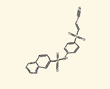 N#CC=CS(=O)(=O)c1ccc(NS(=O)(=O)c2ccc3ccccc3c2)cc1